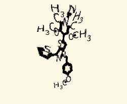 COC1=C(C)N(C#N)C(C)=C(OC)C1c1cc2c(s1)c(-c1cccs1)nn2Cc1ccc(OC)cc1